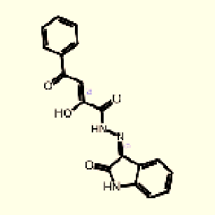 O=C(N/N=C1\C(=O)Nc2ccccc21)/C(O)=C/C(=O)c1ccccc1